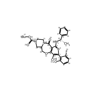 C[C@H](Nc1nc(-c2c(O)cccc2F)c(Cl)c2c1C(=O)N1CCN(C(=O)OC(C)(C)C)CC1CO2)c1ccccc1